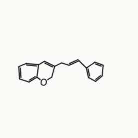 C(=Cc1ccccc1)CC1=Cc2ccccc2OC1